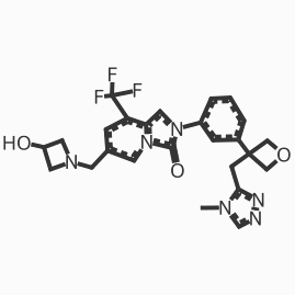 Cn1cnnc1CC1(c2cccc(-n3cc4c(C(F)(F)F)cc(CN5CC(O)C5)cn4c3=O)c2)COC1